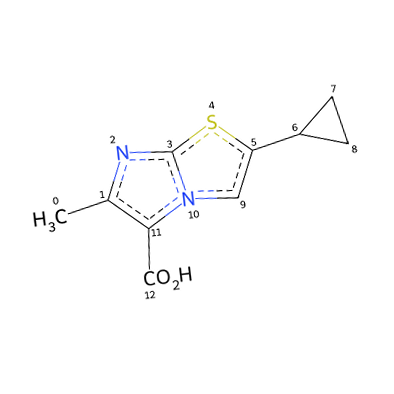 Cc1nc2sc(C3CC3)cn2c1C(=O)O